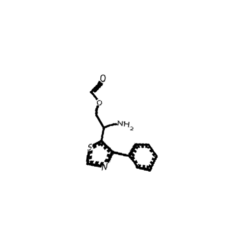 NC(COC=O)c1scnc1-c1ccccc1